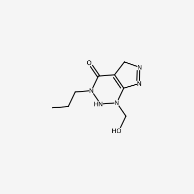 CCCN1NN(CO)C2=C(CN=N2)C1=O